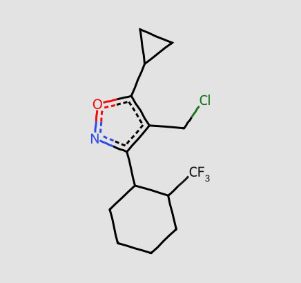 FC(F)(F)C1CCCCC1c1noc(C2CC2)c1CCl